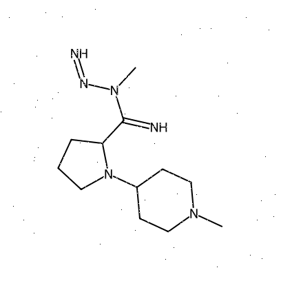 CN1CCC(N2CCCC2C(=N)N(C)N=N)CC1